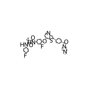 CN1CCN(C(=O)c2ccc(-c3cc4nccc(Oc5ccc(NC(=O)C6(C(=O)Nc7ccc(F)cc7)CC6)cc5F)c4s3)cc2)CC1